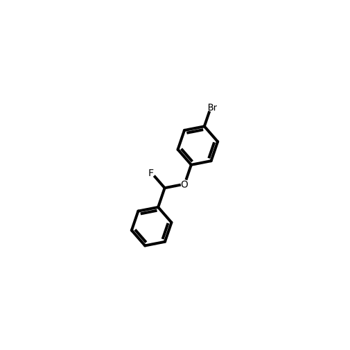 FC(Oc1ccc(Br)cc1)c1ccccc1